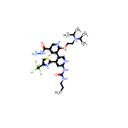 CCCNC(=O)Nc1cc(-c2nc(C(F)(F)F)cs2)c(-c2cc(C(=O)NN)cnc2OCCN(C(C)C)C(C)C)cn1